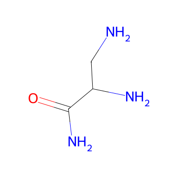 NCC(N)C(N)=O